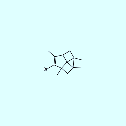 CC1=C(Br)C2(C)CC3(C)C4(C)CC1C243